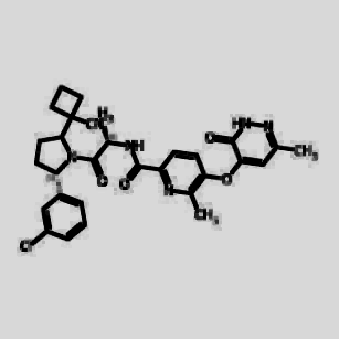 Cc1cc(Oc2ccc(C(=O)N[C@H](C)C(=O)N3C(C4(C#N)CCC4)CC[C@H]3c3cccc(Cl)c3)nc2C)c(=O)[nH]n1